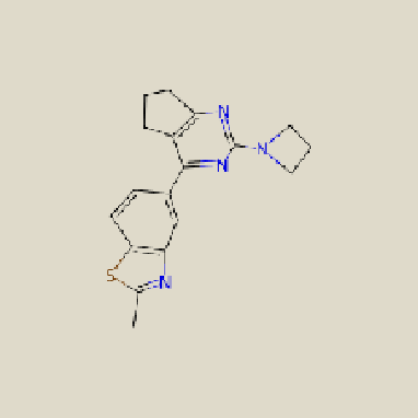 Cc1nc2cc(-c3nc(N4CCC4)nc4c3CCC4)ccc2s1